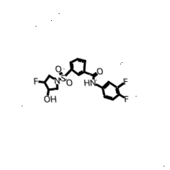 O=C(Nc1ccc(F)c(F)c1)c1cccc(S(=O)(=O)N2CC(O)C(F)C2)c1